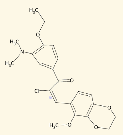 CCOc1ccc(C(=O)/C(Cl)=C\c2ccc3c(c2OC)OCCO3)cc1N(C)C